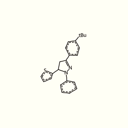 CC(C)(C)c1ccc(C2=NN(c3ccccc3)C(c3cccs3)C2)cc1